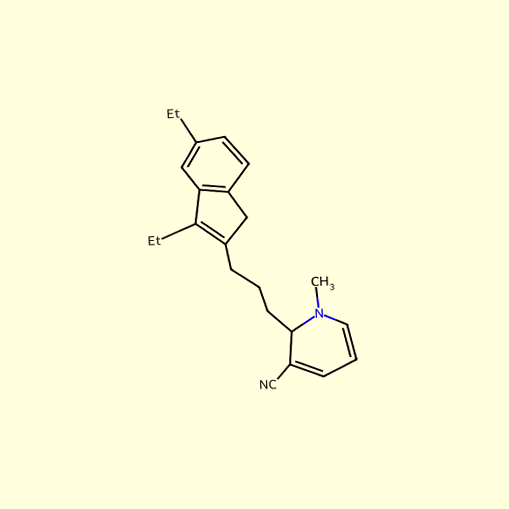 CCC1=C(CCCC2C(C#N)=CC=CN2C)Cc2ccc(CC)cc21